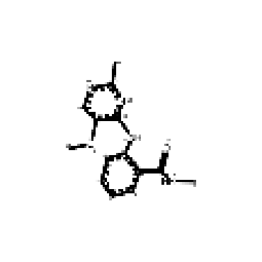 CNC(=O)c1ccccc1Nc1nc(C)ncc1OC